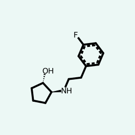 O[C@H]1CCC[C@@H]1NCCc1cccc(F)c1